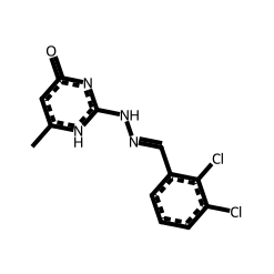 Cc1cc(=O)nc(NN=Cc2cccc(Cl)c2Cl)[nH]1